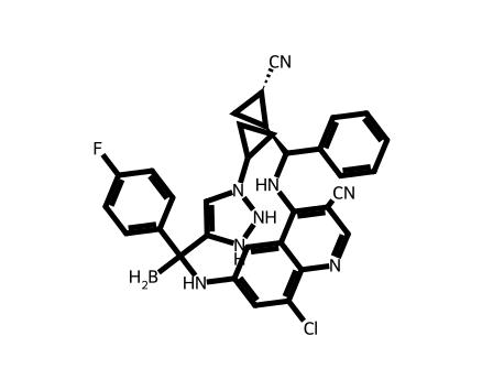 BC(Nc1cc(Cl)c2ncc(C#N)c(NC(c3ccccc3)[C@H]3C[C@@H]3C#N)c2c1)(C1=CN(C2CC2)NN1)c1ccc(F)cc1